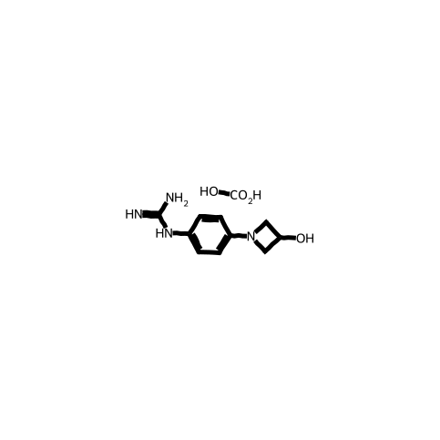 N=C(N)Nc1ccc(N2CC(O)C2)cc1.O=C(O)O